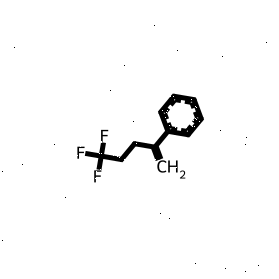 C=C(CCC(F)(F)F)c1ccccc1